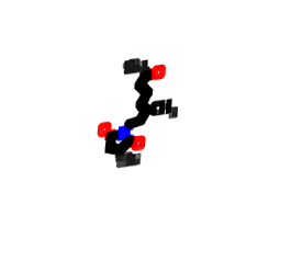 CC(CCCC(=O)C(C)(C)C)CCN1C(=O)CC(C(C)(C)C)C1=O